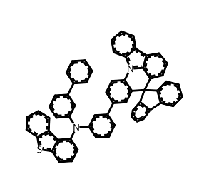 c1ccc(-c2cccc(N(c3cccc(-c4ccc5c(c4)C4(c6ccccc6-c6ccccc64)c4cccc6c7ccccc7n-5c46)c3)c3cccc4sc5ccccc5c34)c2)cc1